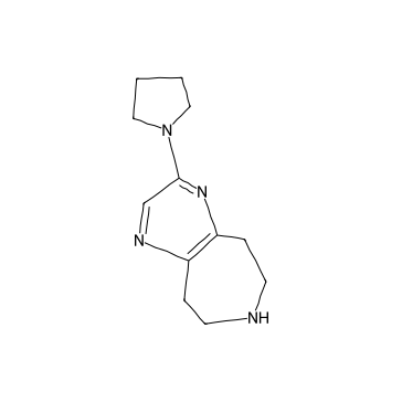 c1nc2c(nc1N1CCCC1)CCNCC2